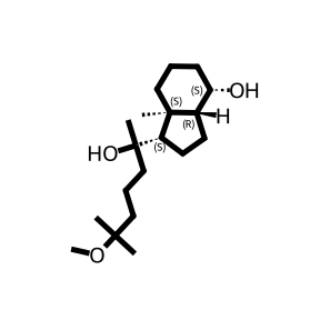 COC(C)(C)CCCC(C)(O)[C@H]1CC[C@H]2[C@@H](O)CCC[C@]12C